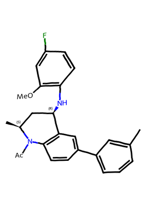 COc1cc(F)ccc1N[C@@H]1C[C@H](C)N(C(C)=O)c2ccc(-c3cccc(C)c3)cc21